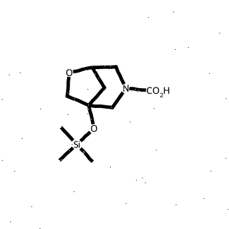 C[Si](C)(C)OC12COC(CN(C(=O)O)C1)C2